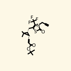 C#CCn1c(C(F)(F)F)c(C[C@@H]2[C@H](C=CC(=O)OC(C)(C)C)C2(C)C)sc1=O